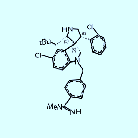 CNC(=N)c1ccc(CN2C[C@]3(c4cc(Cl)ccc42)[C@H](CC(C)(C)C)NC[C@@H]3c2ccccc2Cl)cc1